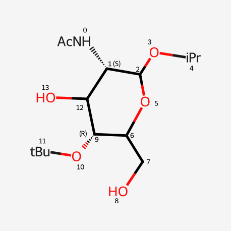 CC(=O)N[C@@H]1C(OC(C)C)OC(CO)[C@H](OC(C)(C)C)C1O